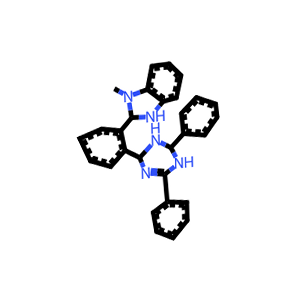 CN1c2ccccc2NC1c1ccccc1C1N=C(c2ccccc2)NC(c2ccccc2)N1